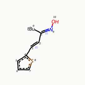 CC(C)(C)C(/C=C/c1cccs1)=N\O